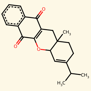 CC(C)C1=CC2OC3=C(CC2(C)CC1)C(=O)c1ccccc1C3=O